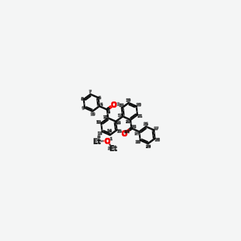 CCOCC.O=C(c1ccccc1)c1ccccc1-c1ccccc1C(=O)c1ccccc1